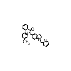 O=C(Nc1ccc2c(c1)CCN2Cc1ccccn1)c1ccccc1-c1ccc(C(F)(F)F)cc1